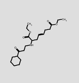 CCOC(=O)CC/C=C/CC(NCCC(=O)C1CCCCC1)C(=O)OCC